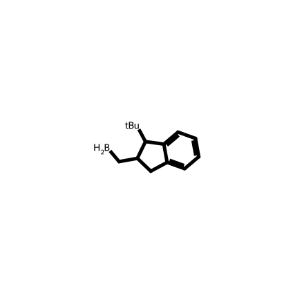 BCC1Cc2ccccc2C1C(C)(C)C